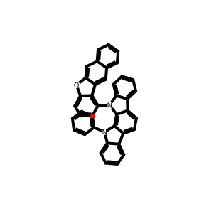 c1ccc(-n2c3ccccc3c3ccc4c5ccccc5n(-c5cccc6oc7cc8ccccc8cc7c56)c4c32)cc1